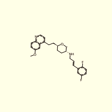 COc1ccc2nccc(CC[C@@H]3CC[C@@H](NC/C=C/c4cc(F)ccc4F)[C]O3)c2c1